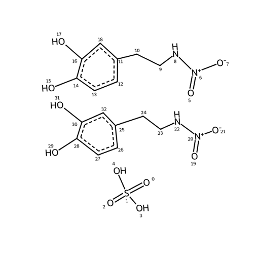 O=S(=O)(O)O.O=[N+]([O-])NCCc1ccc(O)c(O)c1.O=[N+]([O-])NCCc1ccc(O)c(O)c1